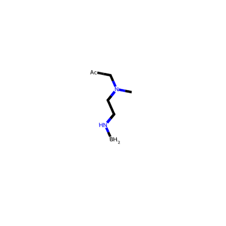 BNCCN(C)CC(C)=O